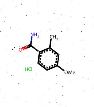 COc1ccc(C(N)=O)c(C)c1.Cl